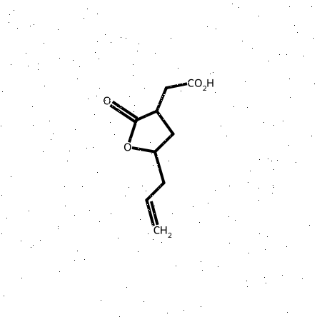 C=CCC1CC(CC(=O)O)C(=O)O1